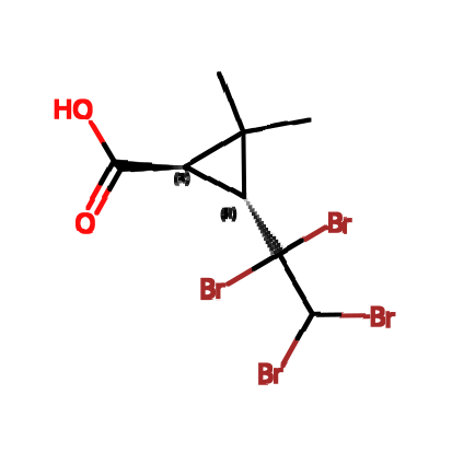 CC1(C)[C@H](C(=O)O)[C@H]1C(Br)(Br)C(Br)Br